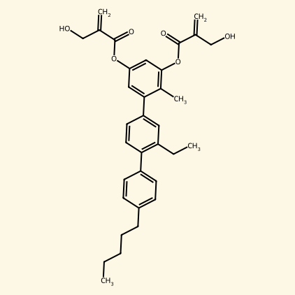 C=C(CO)C(=O)Oc1cc(OC(=O)C(=C)CO)c(C)c(-c2ccc(-c3ccc(CCCCC)cc3)c(CC)c2)c1